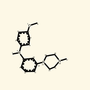 COc1ccc(N(C)c2cccc(N3CCN(C)CC3)c2)cc1